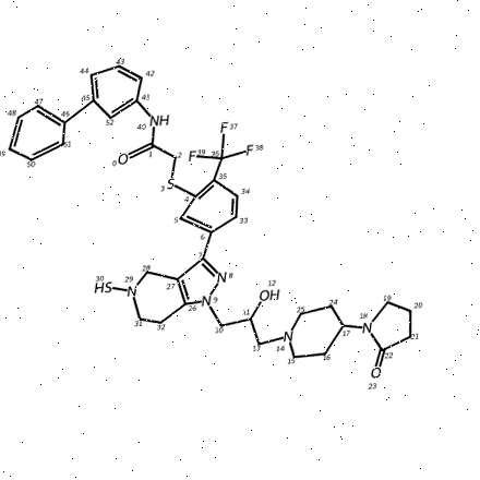 O=C(CSc1cc(-c2nn(CC(O)CN3CCC(N4CCCC4=O)CC3)c3c2CN(S)CC3)ccc1C(F)(F)F)Nc1cccc(-c2ccccc2)c1